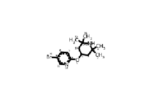 CC1(C)CC(Oc2ccc(Br)cn2)CC(C)(C)N1